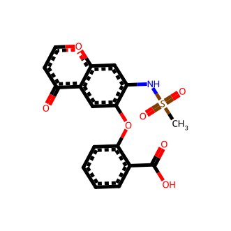 CS(=O)(=O)Nc1cc2occc(=O)c2cc1Oc1ccccc1C(=O)O